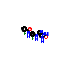 O=C1NCc2c(Nc3ccc(NC(=O)c4ccccc4F)cc3F)ccnc2N1